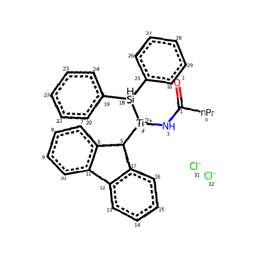 CCCC(=O)[NH][Ti+2]([CH]1c2ccccc2-c2ccccc21)[SiH](c1ccccc1)c1ccccc1.[Cl-].[Cl-]